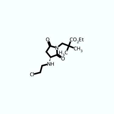 CCOC(=O)C(C)(C)CN1C(=O)C[C@@H](NCCCl)C1=O